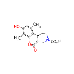 Cc1c(O)cc(C)c2c3c(c(=O)oc12)CN(C(=O)O)CC3